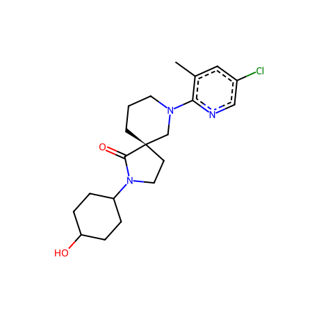 Cc1cc(Cl)cnc1N1CCC[C@]2(CCN(C3CCC(O)CC3)C2=O)C1